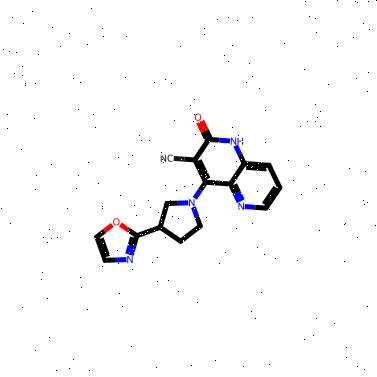 N#Cc1c(N2CCC(c3ncco3)C2)c2ncccc2[nH]c1=O